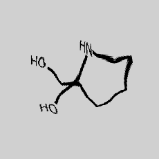 OC1(O)CCCN1